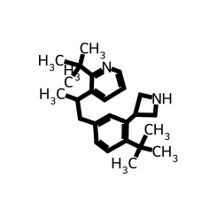 CC(Cc1ccc(C(C)(C)C)c(C2CNC2)c1)c1cccnc1C(C)(C)C